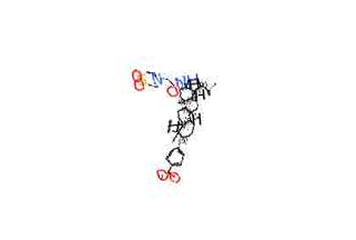 C=C(C)[C@@H]1CC[C@]2(NC(=O)CN3CCS(=O)(=O)CC3)CC[C@]3(C)[C@H](CC[C@@H]4[C@@]5(C)CC[C@H](c6ccc(C(=O)OC)cc6)C(C)(C)[C@@H]5CC[C@]43C)[C@@H]12